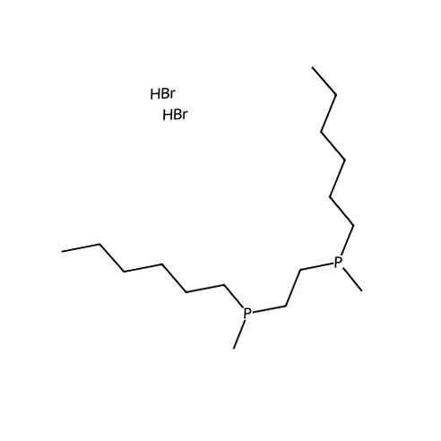 Br.Br.CCCCCCP(C)CCP(C)CCCCCC